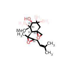 BC1(B)C[C@]2(CO2)[C@@H](C2(C)O[C@@H]2CC=C(C)C)[C@@](B)(OC)[C@H]1O